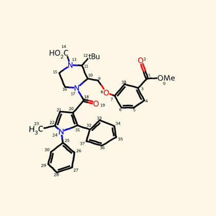 COC(=O)c1cccc(OCC2C(C(C)(C)C)N(C(=O)O)CCN2C(=O)c2cc(C)n(-c3ccccc3)c2-c2ccccc2)c1